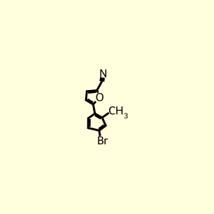 Cc1cc(Br)ccc1-c1ccc(C#N)o1